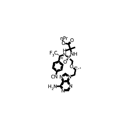 CCCOC(=O)C(C)(C)NP(=O)(CO[C@H](C)Cn1cnc2c(N)ncnc21)N[C@H](c1ccc(C#N)cc1)C(F)(F)F